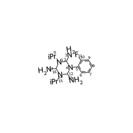 CC(C)N1C(N)N(c2ccccc2F)C(N)N(C(C)C)C1N